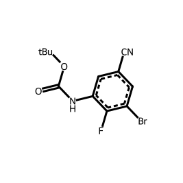 CC(C)(C)OC(=O)Nc1cc(C#N)cc(Br)c1F